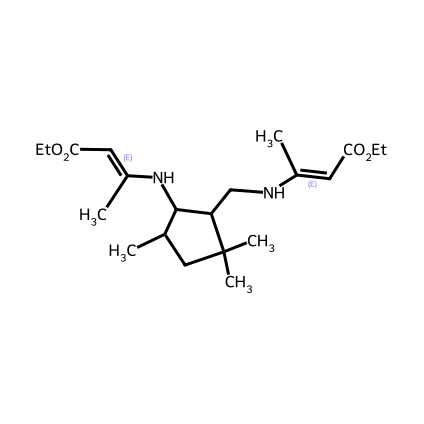 CCOC(=O)/C=C(\C)NCC1C(N/C(C)=C/C(=O)OCC)C(C)CC1(C)C